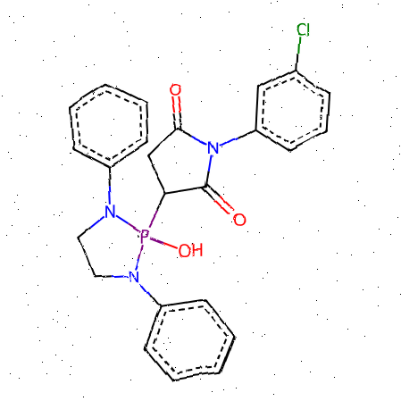 O=C1CC([P]2(O)N(c3ccccc3)CCN2c2ccccc2)C(=O)N1c1cccc(Cl)c1